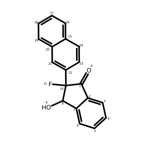 O=C1c2ccccc2C(O)C1(F)c1ccc2ccccc2c1